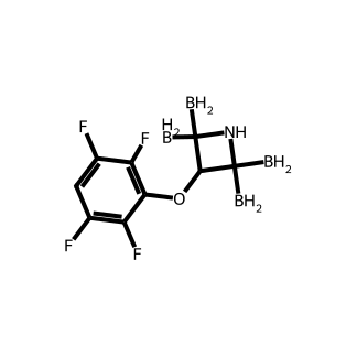 BC1(B)NC(B)(B)C1Oc1c(F)c(F)cc(F)c1F